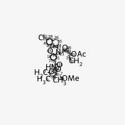 C=CC(C)[C@H](C)[C@@H](CCOC)S(=O)(=O)NC(=O)c1ccc2c(c1)N(C[C@@H]1OC[C@H]1C(C=C)OC(C)=O)C[C@@]1(CCCc3cc(Cl)ccc31)CO2